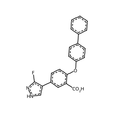 O=C(O)c1cc(-c2c[nH]nc2F)ccc1Oc1ccc(-c2ccccc2)cc1